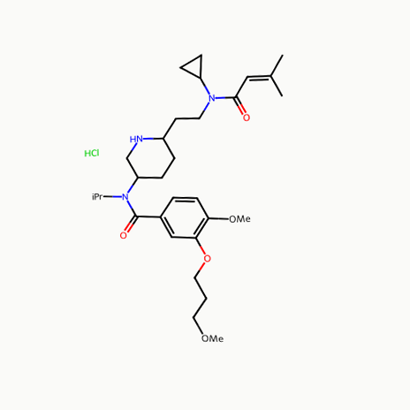 COCCCOc1cc(C(=O)N(C(C)C)C2CCC(CCN(C(=O)C=C(C)C)C3CC3)NC2)ccc1OC.Cl